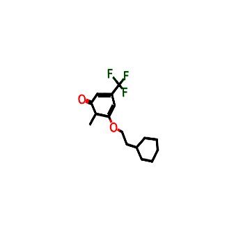 CC1C(=O)C=C(C(F)(F)F)C=C1OCCC1CCCCC1